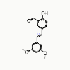 COc1cc(/C=C/c2ccc(O)c(C=O)c2)cc(OC)c1